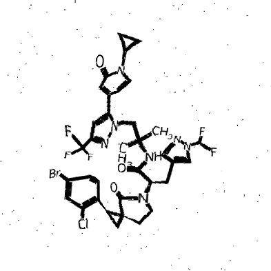 CC(C)(Cn1nc(C(F)(F)F)cc1-c1ccn(C2CC2)c(=O)c1)NC(=O)[C@@H](Cc1cnn(C(F)F)c1)N1CC[C@]2(C[C@H]2c2ccc(Br)cc2Cl)C1=O